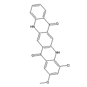 COc1cc(Cl)c2[nH]c3cc4c(=O)c5ccccc5[nH]c4cc3c(=O)c2c1